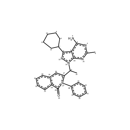 Cc1nc(N)c2c(C3CCCCC3)nn(C(C)c3cc4ccccc4c(=O)n3-c3ccccc3)c2n1